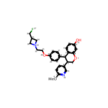 COc1ccc(C2COc3cc(O)ccc3C2c2ccc(OCCN3CC(CF)C3)cc2)cn1